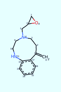 C=C1CCN(CC2CO2)CCNc2ccccc21